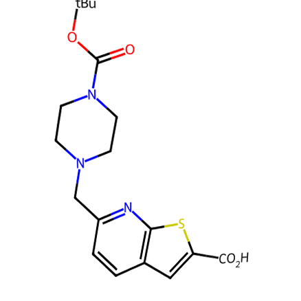 CC(C)(C)OC(=O)N1CCN(Cc2ccc3cc(C(=O)O)sc3n2)CC1